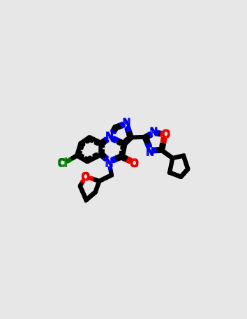 O=c1c2c(-c3noc(C4CCCC4)n3)ncn2c2ccc(Cl)cc2n1CC1CCCO1